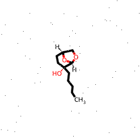 CCCCC[C@@]1(O)CC[C@H]2CO[C@@H]1O2